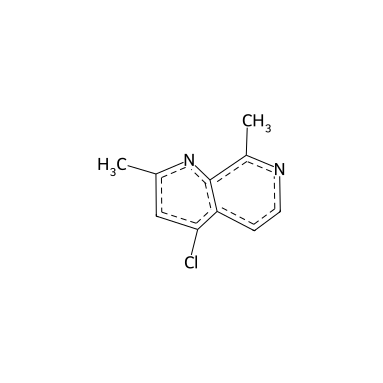 Cc1cc(Cl)c2ccnc(C)c2n1